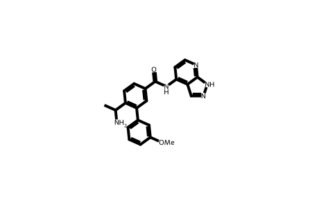 COc1cccc(-c2cc(C(=O)Nc3ccnc4[nH]ncc34)ccc2C(C)N)c1